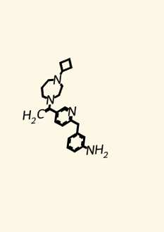 C=C(c1ccc(Cc2cccc(N)c2)nc1)N1CCCN(C2CCC2)CC1